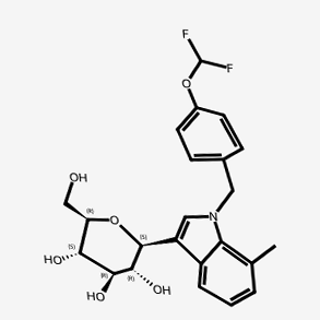 Cc1cccc2c([C@@H]3O[C@H](CO)[C@@H](O)[C@H](O)[C@H]3O)cn(Cc3ccc(OC(F)F)cc3)c12